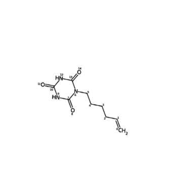 C=CCCCCn1c(=O)[nH]c(=O)[nH]c1=O